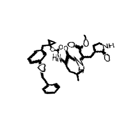 COC(=O)C(CC1CCNC1=O)NC(=O)C(CC(C)C)NC(=O)OC1(Cc2cccc(OCc3ccccc3)c2)CC1